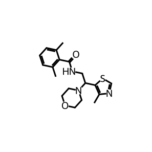 Cc1cccc(C)c1C(=O)NCC(c1scnc1C)N1CCOCC1